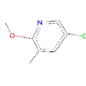 COc1ncc(Cl)cc1C